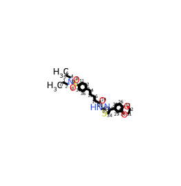 CCCN(CCC)S(=O)(=O)c1ccc(/C=C/C=C/C(=O)Nc2nc(-c3ccc4c(c3)OCCO4)cs2)cc1